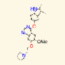 COc1cc2c(Oc3ccc4[nH]c(C)c(C)c4c3)ncnc2cc1OCCN1CCCC1